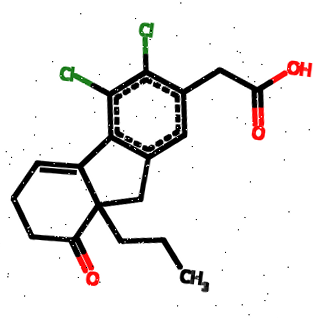 CCCC12Cc3cc(CC(=O)O)c(Cl)c(Cl)c3C1=CCCC2=O